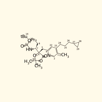 Cc1cnc(C[C@]2([C@H](CC(C)C)NC(=O)OC(C)(C)C)OC(C)(C)OC2=O)cc1CCCC1CC1